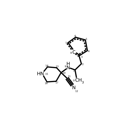 CC(Cc1ccccc1)NC1(C#N)CCNCC1